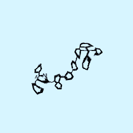 c1ccc(-c2cc(-c3ccc(-c4cccc(-c5ccc(-c6ccc7c(c6)C(c6ccccc6)(c6ccccc6)c6ccccc6-7)cc5)c4)c4ccccc34)nc(-c3ccccc3)n2)cc1